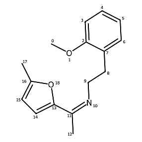 COc1ccccc1CCN=C(C)c1ccc(C)o1